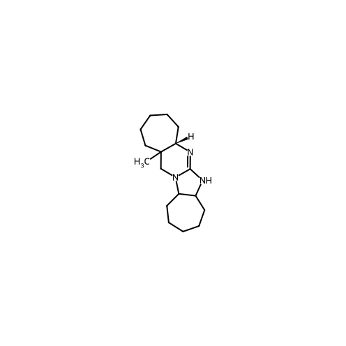 CC12CCCCC[C@@H]1N=C1NC3CCCCCC3N1C2